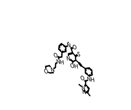 Cc1cc(C(=O)Nc2cccc(C#CC3C(=S)C(C(=O)N(C)c4cccc(CC(=O)NCCN5CCOCC5)c4)=CN=C3O)c2)n(C)n1